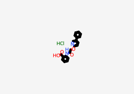 Cl.O=C(COc1ccc(-c2ccccc2)cn1)Nc1ccccc1C(=O)O